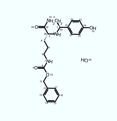 C[C@H](N[C@H](CCCNC(=O)OCc1ccccc1)C(N)=O)c1ccc(O)cc1.Cl